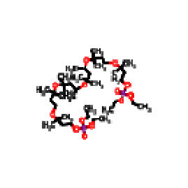 CCOP(=O)(OCC)OCCC(C)(C)OCCC(C)(C)OC(C)CC(C)(C)OC(C)CC(C)(C)OC(C)(C)CCOC(C)(C)CCOP(=O)(OCC)OCC